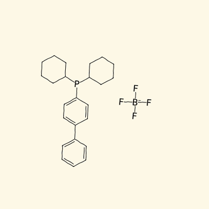 F[B-](F)(F)F.c1ccc(-c2ccc(P(C3CCCCC3)C3CCCCC3)cc2)cc1